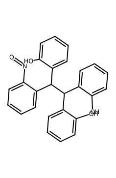 O=Nc1ccccc1C(c1ccccc1O)C(c1ccccc1O)c1ccccc1O